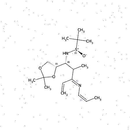 C=C/C(=N\C=C/C)C(C)[C@@H](N[S@+]([O-])C(C)(C)C)[C@H]1COC(C)(C)O1